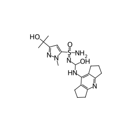 Cn1nc(C(C)(C)O)cc1S(N)(=O)=NC(O)Nc1c2c(nc3c1CCC3)CCC2